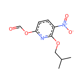 CC(C)COc1nc(OC=O)ccc1[N+](=O)[O-]